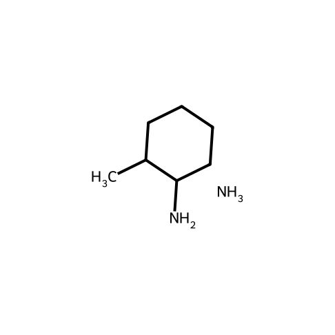 CC1CCCCC1N.N